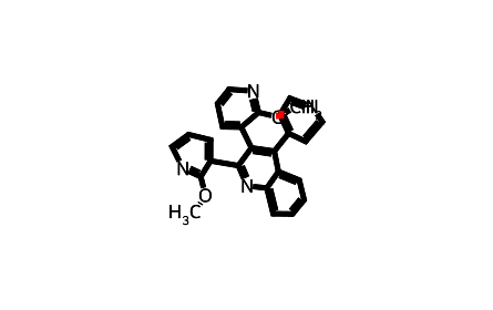 COc1ncccc1-c1nc2ccccc2c(-c2ccncc2)c1-c1cccnc1OC